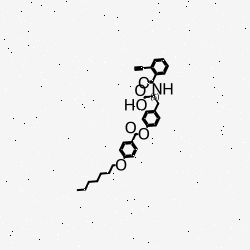 C#Cc1ccccc1C(=O)N[C@@H](Cc1ccc(OC(=O)c2ccc(OCCCCCCC)cc2)cc1)C(=O)O